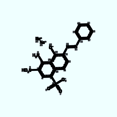 Nc1c(S(=O)(=O)O)cc(S(=O)(=O)[O-])c2ccc(N=Nc3ccccc3)c([O-])c12.[Na+].[Na+]